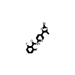 Cc1sc(Br)nc1-c1ccc(NC(=O)c2c(F)cccc2F)nc1